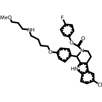 COCCCNCCCCOc1ccc(C2c3[nH]c4ccc(Cl)cc4c3CCN2C(=O)Oc2ccc(F)cc2)cc1